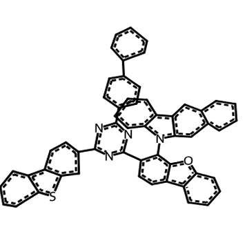 c1ccc(-c2ccc(-c3nc(-c4ccc5c(c4)sc4ccccc45)nc(-c4ccc5c(oc6ccccc65)c4-n4c5ccccc5c5cc6ccccc6cc54)n3)cc2)cc1